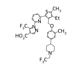 CCc1c(C)sc(-c2cccc(-n3ncc(C(=O)O)c3C(F)(F)F)n2)c1COc1ccc(C2CCN(CC(F)(F)F)CC2)cc1C